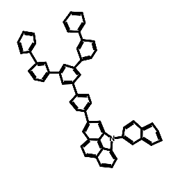 c1ccc(-c2cccc(-c3cc(-c4ccc(-c5cc6ccc7cccc8c7c6c(c5)n8-c5ccc6ccccc6c5)cc4)cc(-c4cccc(-c5ccccc5)c4)c3)c2)cc1